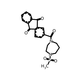 CS(=O)(=O)N1CCCN(C(=O)c2ccc3c(c2)C(=O)c2ccccc2C3=O)CC1